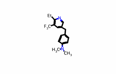 CCc1ncc(Cc2ccc(N(C)C)cc2)cc1C(F)(F)F